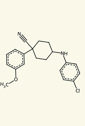 COc1cccc(C2(C#N)CCC(Nc3ccc(Cl)cc3)CC2)c1